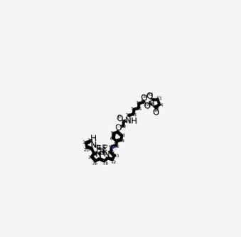 O=C(COc1ccc(/C=C/c2ccc3n2[B-](F)(F)[N+]2=C(c4ccc[nH]4)C=CC2=C3)cc1)NCCCCCC(=O)ON1C(=O)CCC1=O